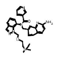 C[Si](C)(C)CCOCn1ncc2cccc(N(Cc3ccc4ccc(N)nc4c3)C(=O)c3cccnc3)c21